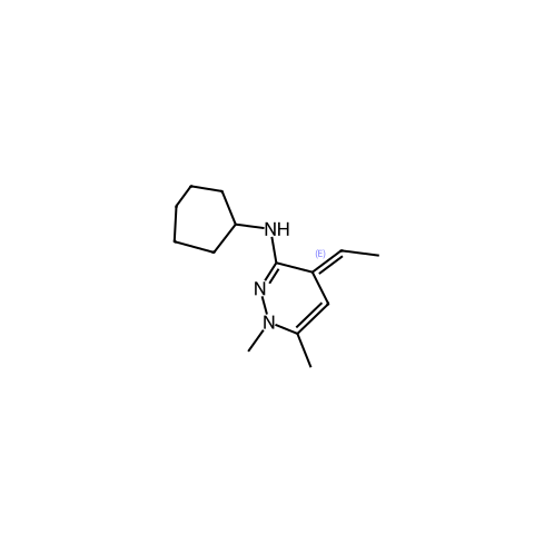 C/C=C1\C=C(C)N(C)N=C1NC1CCCCC1